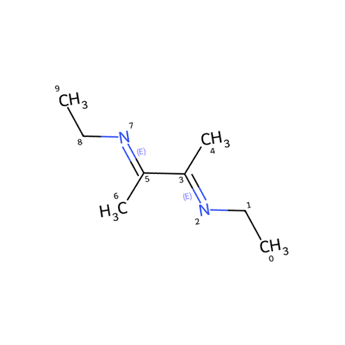 CC/N=C(C)/C(C)=N/CC